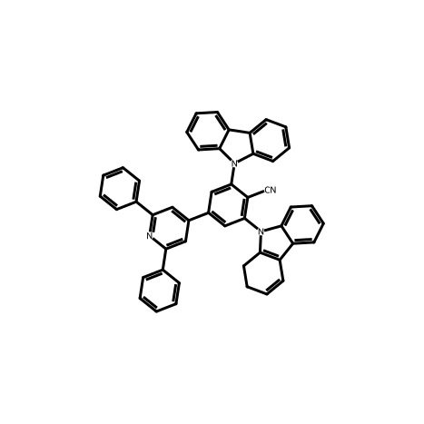 N#Cc1c(-n2c3c(c4ccccc42)C=CCC3)cc(-c2cc(-c3ccccc3)nc(-c3ccccc3)c2)cc1-n1c2ccccc2c2ccccc21